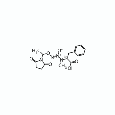 CC(ON=[N+]([O-])N(C)[C@@H](Cc1ccccc1)C(=O)O)N1C(=O)CCC1=O